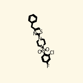 O=S(=O)(c1ccc(F)cc1Cl)N1CCN(c2nc(Cc3ccccc3)cs2)CC1